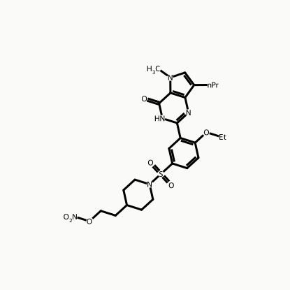 CCCc1cn(C)c2c(=O)[nH]c(-c3cc(S(=O)(=O)N4CCC(CCO[N+](=O)[O-])CC4)ccc3OCC)nc12